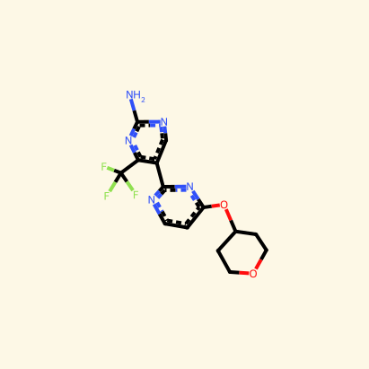 Nc1ncc(-c2nccc(OC3CCOCC3)n2)c(C(F)(F)F)n1